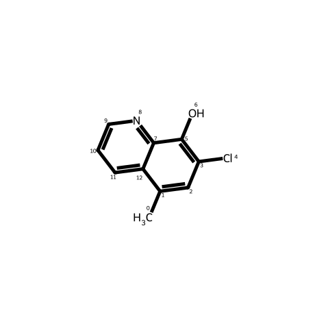 Cc1cc(Cl)c(O)c2ncccc12